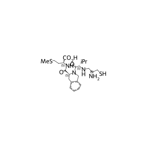 CSCC[C@H](NC(=O)[C@@H]1Cc2ccccc2CN1C(=O)[C@@H](NC[C@@H](N)CS)C(C)C)C(=O)O